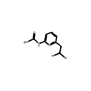 CC(C)(C)C(=O)Nc1cccc(CC(Br)Br)n1